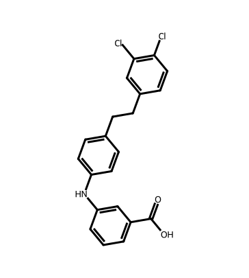 O=C(O)c1cccc(Nc2ccc(CCc3ccc(Cl)c(Cl)c3)cc2)c1